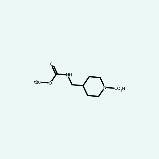 CC(C)(C)OC(=O)NCC1CCN(C(=O)O)CC1